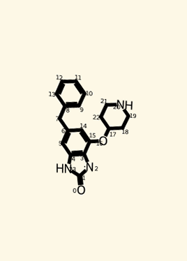 O=C1[N]c2c(cc(Cc3ccccc3)cc2OC2CCNCC2)N1